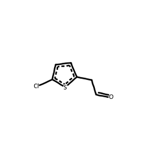 O=CCc1ccc(Cl)s1